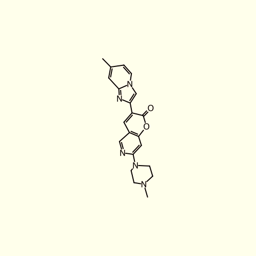 Cc1ccn2cc(-c3cc4cnc(N5CCN(C)CC5)cc4oc3=O)nc2c1